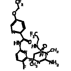 CN1C(N)=N[C@](C)(c2nc(NC(=O)c3ccc(OCC(F)(F)F)cn3)ccc2F)C[SH]1(=O)NCC(F)(F)F